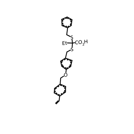 C=Cc1ccc(COc2ccc(CSC(CC)(SCc3ccccc3)C(=O)O)cc2)cc1